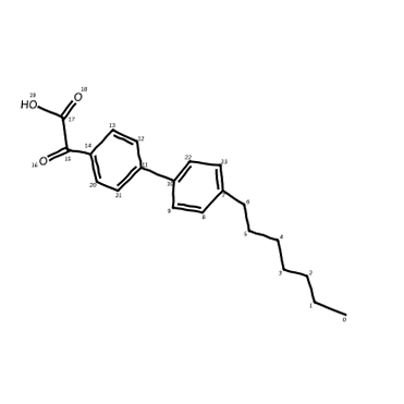 CCCCCCCc1ccc(-c2ccc(C(=O)C(=O)O)cc2)cc1